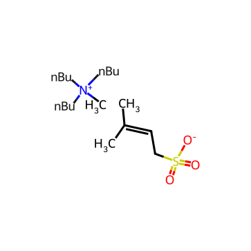 CC(C)=CCS(=O)(=O)[O-].CCCC[N+](C)(CCCC)CCCC